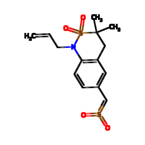 C=CCN1c2ccc(C=S(=O)=O)cc2CC(C)(C)S1(=O)=O